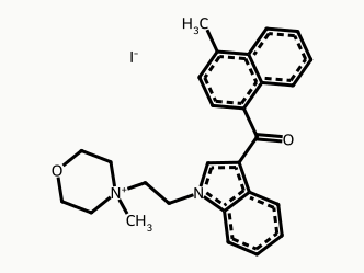 Cc1ccc(C(=O)c2cn(CC[N+]3(C)CCOCC3)c3ccccc23)c2ccccc12.[I-]